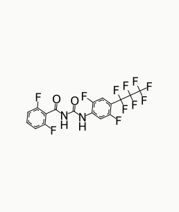 O=C(NC(=O)c1c(F)cccc1F)Nc1cc(F)c(C(F)(F)C(F)(F)C(F)(F)F)cc1F